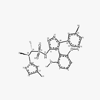 COc1cccc(OC)c1-n1c(NS(=O)(=O)[C@@H](C)[C@H](C)n2cc(C)cn2)nnc1-c1cncc(C)c1